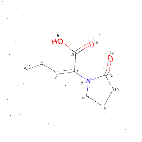 CCC=C(C(=O)O)N1CCCC1=O